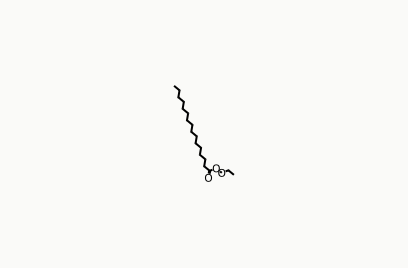 CCCCCCCCCCCCCCCC(=O)OOCC